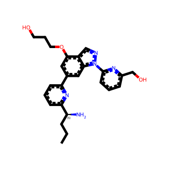 CCC[C@H](N)c1cccc(-c2cc(OCCCO)c3cnn(-c4cccc(CO)n4)c3c2)n1